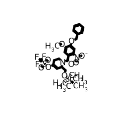 COc1cc(C(=O)N2CCC(OS(=O)(=O)C(F)(F)F)=CC2CO[Si](C)(C)C(C)(C)C)c([N+](=O)[O-])cc1OCc1ccccc1